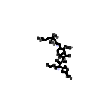 C[N+](C)(C/C=C/C1=C(C(=O)[O-])N2C(=O)[C@@H](NC(=O)/C(=N\OCF)c3nsc(N)n3)[C@@H]2SC1)CCN